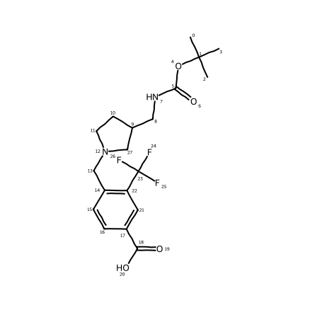 CC(C)(C)OC(=O)NCC1CCN(Cc2ccc(C(=O)O)cc2C(F)(F)F)C1